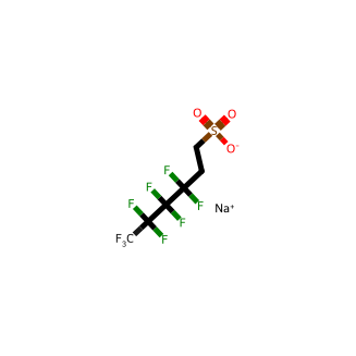 O=S(=O)([O-])CCC(F)(F)C(F)(F)C(F)(F)C(F)(F)F.[Na+]